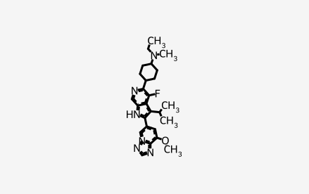 CCN(C)C1CCC(c2ncc3[nH]c(-c4cc(OC)c5ncnn5c4)c(C(C)C)c3c2F)CC1